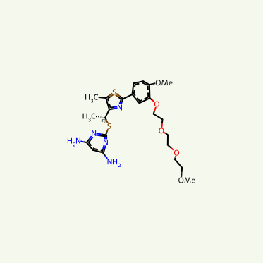 COCCOCCOCCOc1cc(-c2nc([C@@H](C)Sc3nc(N)cc(N)n3)c(C)s2)ccc1OC